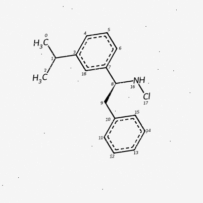 CC(C)c1cccc([C@H](Cc2ccccc2)NCl)c1